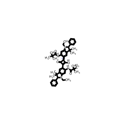 CCN1c2cc(NC(=O)C(C)(C)C)c(C3=C(O)/C(=c4\cc5c(cc4NC(=O)C(C)(C)C)=[N+](CC)C(c4ccccc4)C5(C)C)C3=O)cc2C(C)(C)C1c1ccccc1